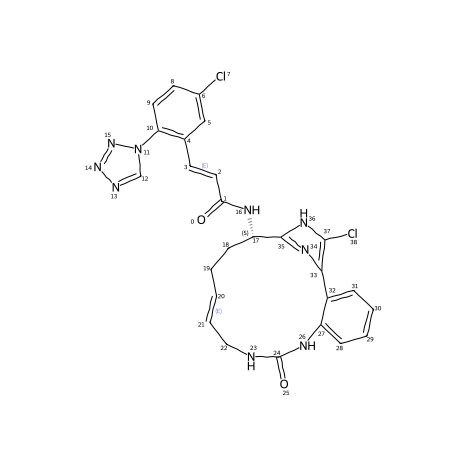 O=C(/C=C/c1cc(Cl)ccc1-n1cnnn1)N[C@H]1CC/C=C/CNC(=O)Nc2ccccc2-c2nc1[nH]c2Cl